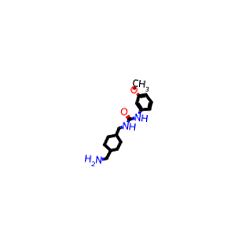 COc1cccc(NC(=O)NCC2CCC(CN)CC2)c1